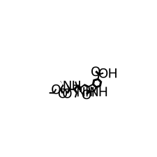 CCOC(=O)[C@H](C)NC(=O)c1c(C)[nH]c(/C=C2\C(=O)Nc3ccc(C(=O)O)cc32)c1C